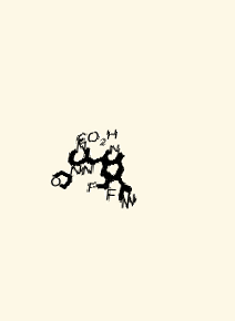 Cn1cc(-c2cc3cncc(-c4nn(C5CCOCC5)c5c4CN(C(=O)O)CC5)c3cc2C(F)F)cn1